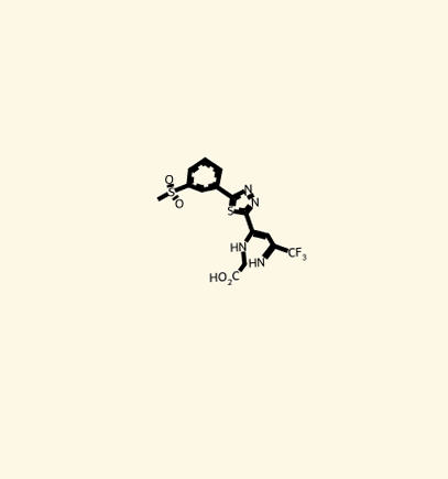 CS(=O)(=O)c1cccc(-c2nnc(/C(=C/C(=N)C(F)(F)F)NCC(=O)O)s2)c1